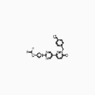 O=c1ccc(-c2cnc(N3CC(OC(F)F)C3)nc2)nn1Cc1ccc(Cl)cc1